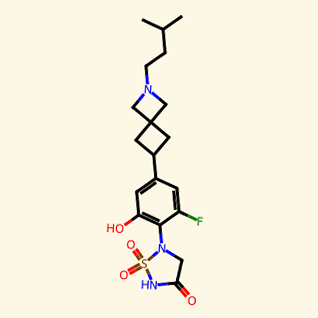 CC(C)CCN1CC2(CC(c3cc(O)c(N4CC(=O)NS4(=O)=O)c(F)c3)C2)C1